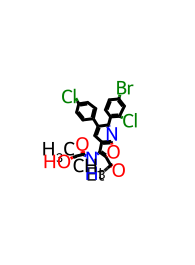 CCC(=O)c1oc2nc(-c3ccc(Br)cc3Cl)c(-c3ccc(Cl)cc3)cc2c1NC(=O)C(C)(C)O